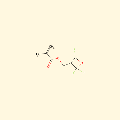 C=C(C)C(=O)OCC1C(F)OC1(F)F